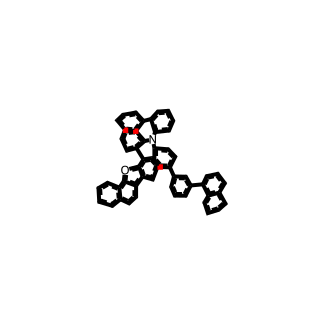 c1ccc(-c2ccccc2N(c2ccc(-c3cccc(-c4cccc5ccccc45)c3)cc2)c2ccccc2-c2cccc3c2oc2c4ccccc4ccc32)cc1